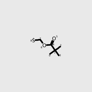 CC(C)(C)C(=O)OC[S]